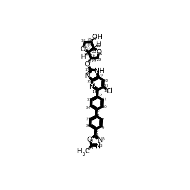 Cc1nnc(-c2ccc(-c3ccc(-c4nc5nc(O[C@@H]6CO[C@H]7[C@@H]6OC[C@H]7O)[nH]c5cc4Cl)cc3)cc2)o1